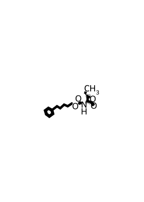 CC[C@@H]1OC(=O)[C@@H]1NC(=O)OCCCCCc1ccccc1